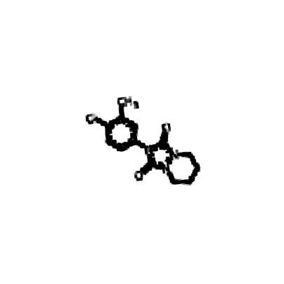 Cc1cc(-n2c(=O)n3n(c2=O)CCCC3)ccc1Cl